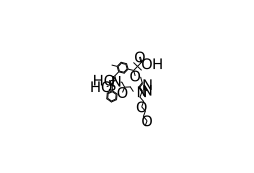 CCC1CN(Cc2cc(C(OCc3cn(CCOCCOC)nn3)C(C)(C)C(=O)O)ccc2C)S(O)(O)c2ccccc2O1